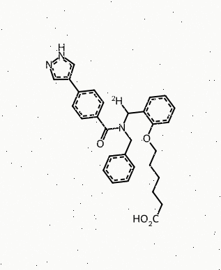 [2H]C(c1ccccc1OCCCCCC(=O)O)N(Cc1ccccc1)C(=O)c1ccc(-c2cn[nH]c2)cc1